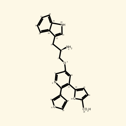 N[C@@H](COc1cnc(-c2ccoc2)c(-c2ccc(C(=O)O)o2)c1)Cc1c[nH]c2ccccc12